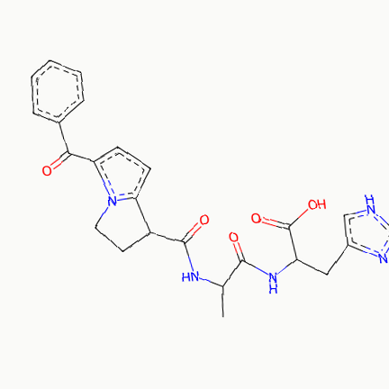 CC(NC(=O)C1CCn2c(C(=O)c3ccccc3)ccc21)C(=O)NC(Cc1c[nH]cn1)C(=O)O